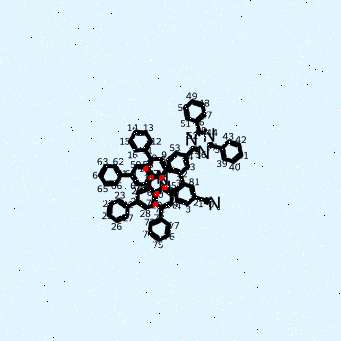 N#Cc1ccc(-n2c3ccc(-c4ccccc4)cc3c3cc(-c4ccccc4)ccc32)c(-c2cc(-c3nc(-c4ccccc4)nc(-c4ccccc4)n3)ccc2-n2c3ccc(-c4ccccc4)cc3c3cc(-c4ccccc4)ccc32)c1